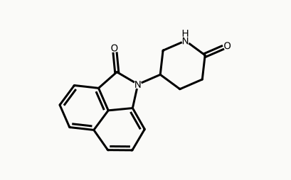 O=C1CCC(N2C(=O)c3cccc4cccc2c34)CN1